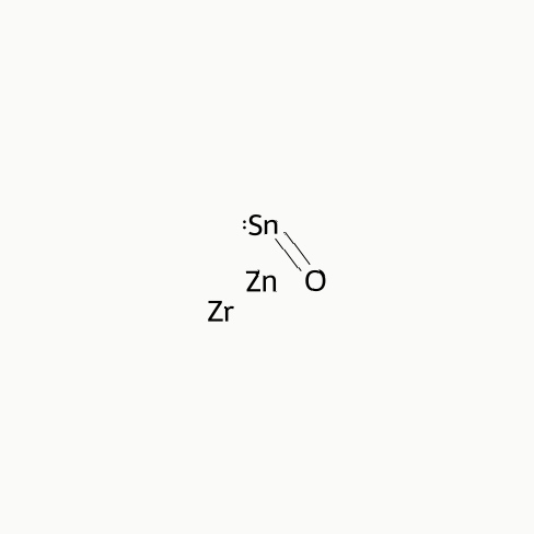 [O]=[Sn].[Zn].[Zr]